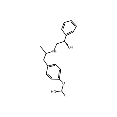 CC(Cc1ccc(OC(C)O)cc1)NC[C@H](O)c1ccccc1